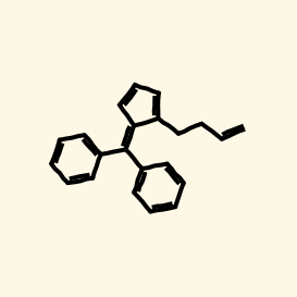 C=CCCC1=CC=CC1=C(c1ccccc1)c1ccccc1